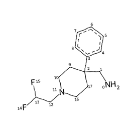 NCC1(c2ccccc2)CCN(CC(F)F)CC1